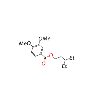 CCC(CC)CCOC(=O)c1ccc(OC)c(OC)c1